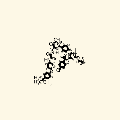 COC(=O)[C@H](CNC(=O)C(=O)Nc1ccc(Oc2ccc(C(C)(C)C)cc2)nc1)NC(=O)c1ccc(Nc2nc(NC3(c4ccc(Cl)cc4)CC3)nc(OCC(F)(F)F)n2)cc1